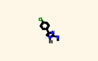 C=Nc1nc(-c2ccc(Cl)cc2)cn1CC